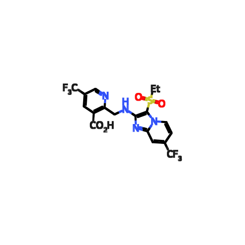 CCS(=O)(=O)c1c(NCc2ncc(C(F)(F)F)cc2C(=O)O)nc2cc(C(F)(F)F)ccn12